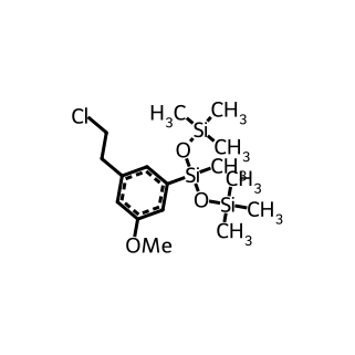 COc1cc(CCCl)cc([Si](C)(O[Si](C)(C)C)O[Si](C)(C)C)c1